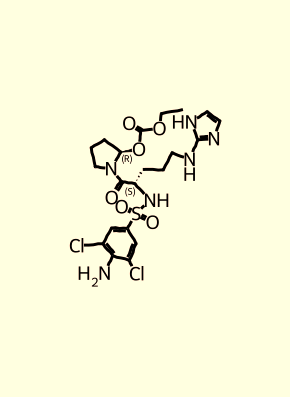 CCOC(=O)O[C@@H]1CCCN1C(=O)[C@H](CCCNc1ncc[nH]1)NS(=O)(=O)c1cc(Cl)c(N)c(Cl)c1